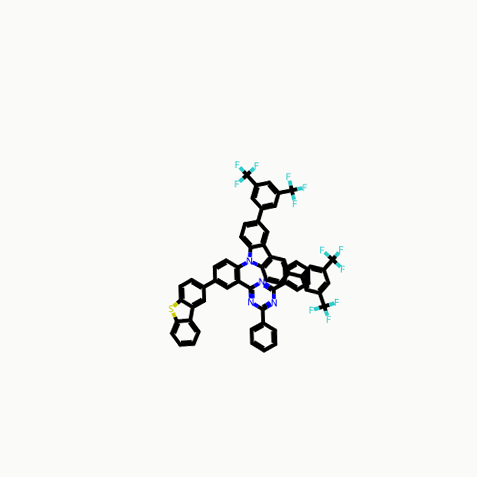 FC(F)(F)c1cc(-c2ccc3c(c2)c2cc(-c4cc(C(F)(F)F)cc(C(F)(F)F)c4)ccc2n3-c2ccc(-c3ccc4sc5ccccc5c4c3)cc2-c2nc(-c3ccccc3)nc(-c3ccccc3)n2)cc(C(F)(F)F)c1